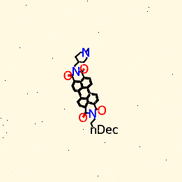 CCCCCCCCCCCCN1C(=O)c2ccc3c4ccc5c6c(ccc(c7ccc(c2c37)C1=O)c64)C(=O)N(CC1CCN(C)CC1)C5=O